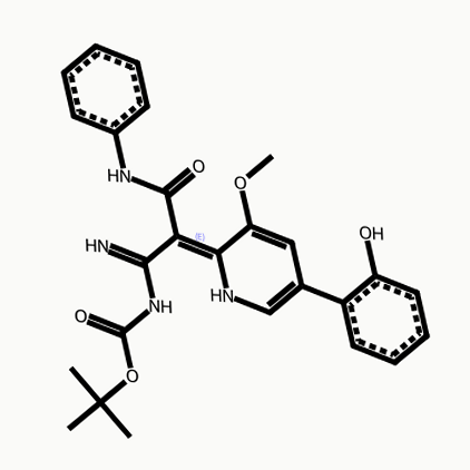 COC1=CC(c2ccccc2O)=CN/C1=C(\C(=N)NC(=O)OC(C)(C)C)C(=O)Nc1ccccc1